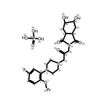 CC(C)Oc1ccc(F)cc1N1CCN(CC(=O)CN2C(=O)C3CC(O)C(O)CC3C2=O)CC1.O=P(O)(O)O